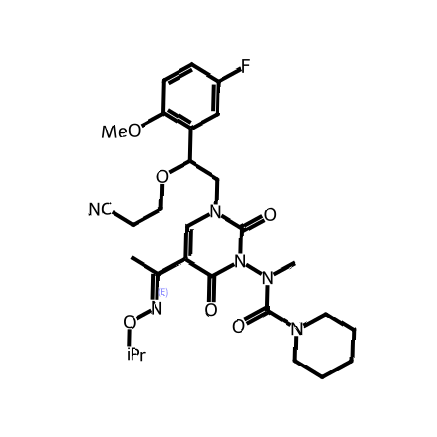 COc1ccc(F)cc1C(Cn1cc(/C(C)=N/OC(C)C)c(=O)n(N(C)C(=O)N2CCCCC2)c1=O)OCCC#N